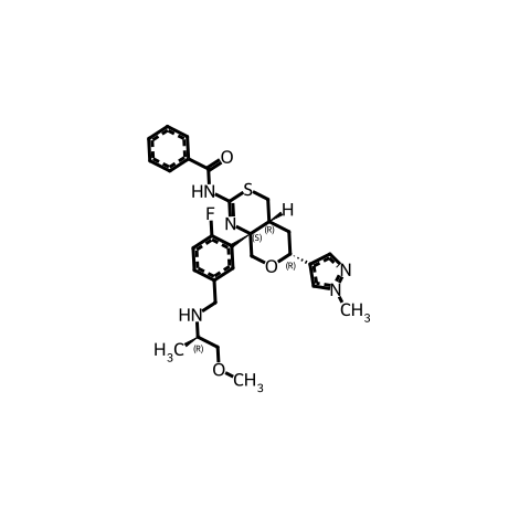 COC[C@@H](C)NCc1ccc(F)c([C@]23CO[C@@H](c4cnn(C)c4)C[C@H]2CSC(NC(=O)c2ccccc2)=N3)c1